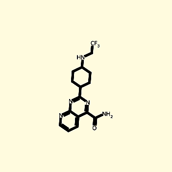 NC(=O)c1nc(C2CCC(NCC(F)(F)F)CC2)nc2ncccc12